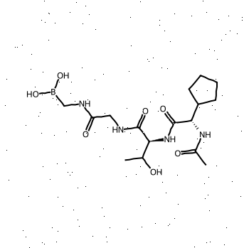 CC(=O)N[C@H](C(=O)N[C@H](C(=O)NCC(=O)NCB(O)O)C(C)O)C1CCCC1